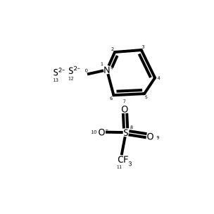 C[n+]1ccccc1.O=S(=O)([O-])C(F)(F)F.[S-2].[S-2]